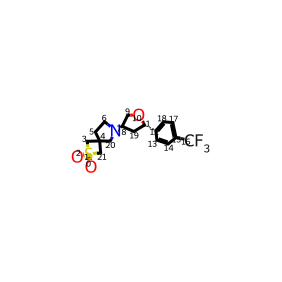 O=S1(=O)CC2(CCN([C@H]3CO[C@H](c4ccc(C(F)(F)F)cc4)C3)C2)C1